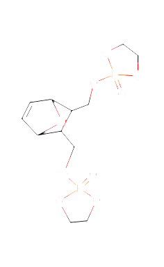 O=P1(OCC2C3C=CC(O3)C2COP2(=O)OCCO2)OCCO1